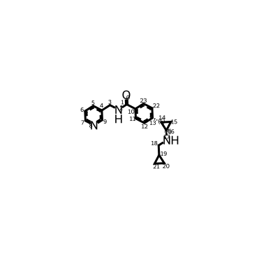 O=C(NCc1cccnc1)c1ccc([C@@H]2C[C@H]2NCC2CC2)cc1